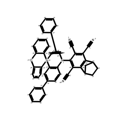 N#Cc1c(C#N)c(N2c3ccc(-c4ccccc4)cc3[Si]3(c4ccccc4Oc4ccccc43)c3cc(-c4ccccc4)ccc32)c(C#N)c2c1C1CCC2C1